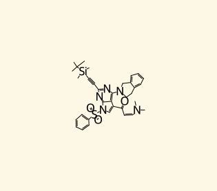 CN(C)/C=C\C(=O)c1cn(S(=O)(=O)c2ccccc2)c2nc(C#C[Si](C)(C)C(C)(C)C)nc(N3CCc4ccccc4C3)c12